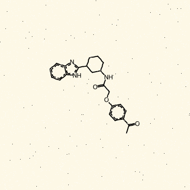 CC(=O)c1ccc(OCC(=O)NC2CCCC(c3nc4ccccc4[nH]3)C2)cc1